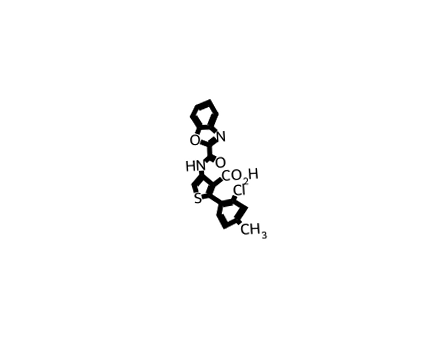 Cc1ccc(-c2scc(NC(=O)c3nc4ccccc4o3)c2C(=O)O)c(Cl)c1